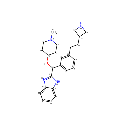 CN1CCC(OC(c2cccc(CCC3CNC3)c2)c2nc3ccccc3[nH]2)CC1